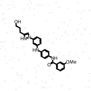 COc1cccc(C(=O)Nc2ccc(Nc3cccc(-n4cc(CCCO)[nH]4)c3)cc2)c1